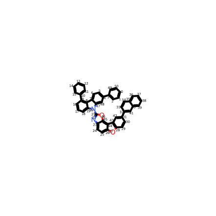 c1ccc(-c2ccc3c4c(-c5ccccc5)cccc4n(-c4nc5ccc6oc7ccc(-c8ccc9ccccc9c8)cc7c6c5o4)c3c2)cc1